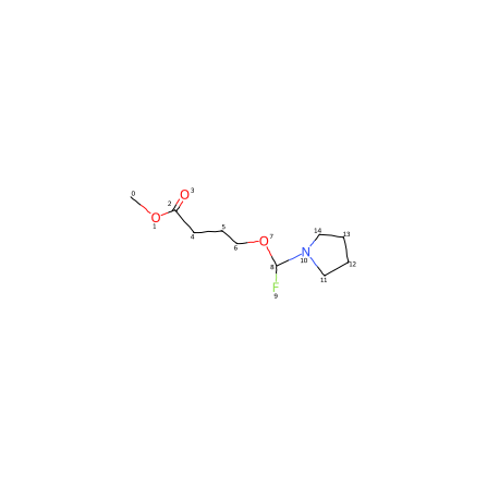 COC(=O)CCCOC(F)N1CCCC1